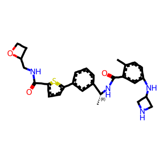 Cc1ccc(NC2CNC2)cc1C(=O)N[C@H](C)c1cccc(-c2ccc(C(=O)NCC3CCO3)s2)c1